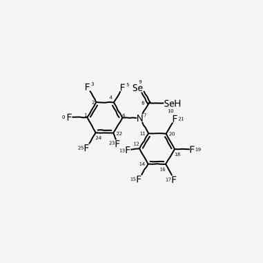 Fc1c(F)c(F)c(N(C(=[Se])[SeH])c2c(F)c(F)c(F)c(F)c2F)c(F)c1F